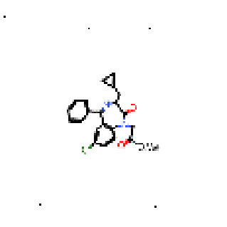 COC(=O)CN1C(=O)C(CC2CC2)N=C(c2ccccc2)c2cc(Cl)ccc21